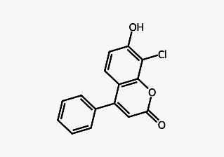 O=c1cc(-c2ccccc2)c2ccc(O)c(Cl)c2o1